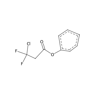 O=C(CC(F)(F)Cl)Oc1ccccc1